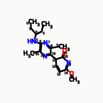 CCC(CC)Nc1nc(C)c(C2C=CC(OC)=NC2=O)nc1C